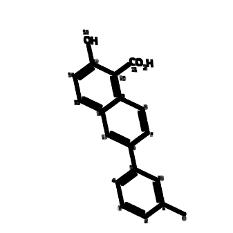 Cc1cccc(-c2ccc3c(C(=O)O)c(O)ccc3c2)c1